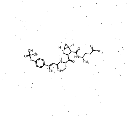 C/C(=C\C(=O)N[C@@H](CC(C)C)C(=O)N1C[C@H]2C[C@H]2[C@H]1C(=O)N[C@H](C)CCC(N)=O)c1ccc(OP(=O)(O)O)cc1